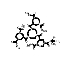 CCCC(C)(C)OC(=O)N1CCN(C(=O)OC(C)(C)C)CC(C(=O)N2CCN(C(=O)C3CN(C(=O)OC(C)(C)C)CCN(C(=O)OC(C)(C)C)C3)CCN(C(=O)C3CN(C(=O)OC(C)(C)C)CCN(C(=O)OC(C)(C)C)C3)CC2)C1